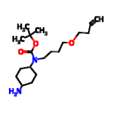 C#CCCOCCCCN(C(=O)OC(C)(C)C)C1CCC(N)CC1